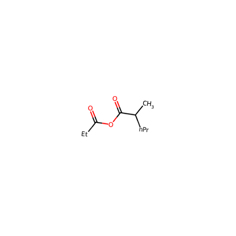 CCCC(C)C(=O)OC(=O)CC